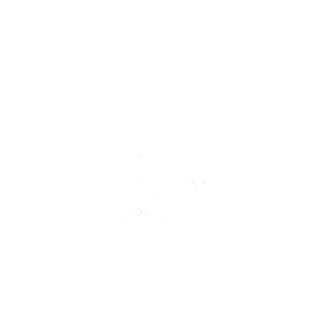 CCCCc1ccc(C(=O)[O-])cc1.[Na+]